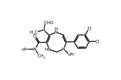 CCCN(C)C(=O)/C1=C(\N(C)C=O)N/C=C(/c2ccc(Cl)c(Cl)c2)N(CCC)CN1